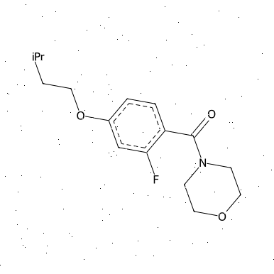 CC(C)CCOc1ccc(C(=O)N2CCOCC2)c(F)c1